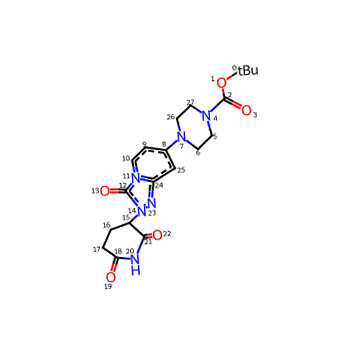 CC(C)(C)OC(=O)N1CCN(c2ccn3c(=O)n(C4CCC(=O)NC4=O)nc3c2)CC1